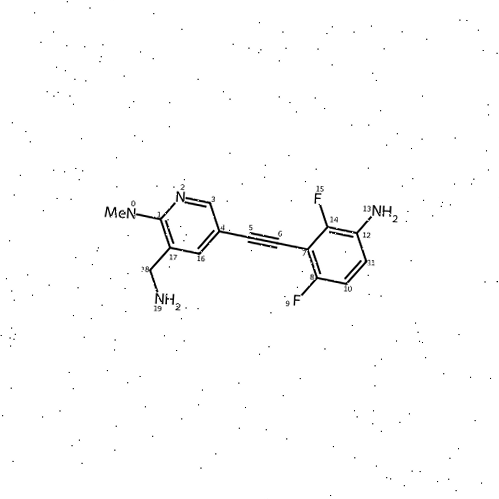 CNc1ncc(C#Cc2c(F)ccc(N)c2F)cc1CN